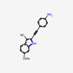 COc1ccc2c(C#N)c(C#Cc3ccc(N)cc3)[nH]c2c1